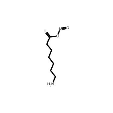 NCCCCCCC(=O)ON=O